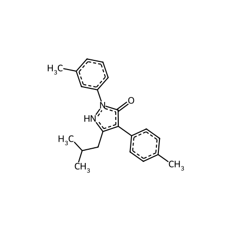 Cc1ccc(-c2c(CC(C)C)[nH]n(-c3cccc(C)c3)c2=O)cc1